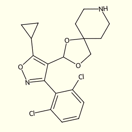 Clc1cccc(Cl)c1-c1noc(C2CC2)c1C1OCC2(CCNCC2)O1